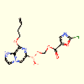 C=CCCOc1nc(B(O)OCOC(=O)c2cnc(Cl)o2)cn2ccnc12